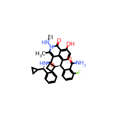 CCNn1c(C)c(C(=O)N[C@H](c2ccccc2)C2CC2)c2c([C@@H](c3cccc(F)c3C(N)=O)C3CCC3)ccc(O)c2c1=O